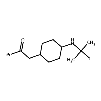 CC(C)C(=O)CC1CCC(NC(C)(C)I)CC1